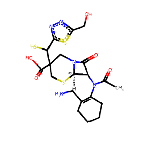 CC(=O)N(C1=C(CN)CCCC1)C1C(=O)N2CC(C(=O)O)(C(S)c3nnc(CO)s3)CS[C@H]12